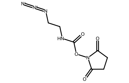 [N-]=[N+]=NCCNC(=O)ON1C(=O)CCC1=O